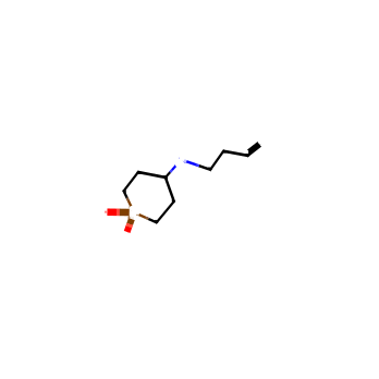 C=CCCNC1CCS(=O)(=O)CC1